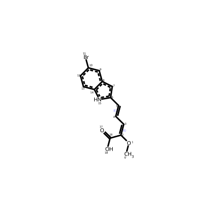 CO/C(=C/C=C/c1cc2cc(Br)ccc2[nH]1)C(=O)O